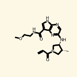 C=CC(=O)N1C[C@@H](C)[C@@H](Nc2cnc3[nH]cc(C(=O)NCCOC)c3n2)C1